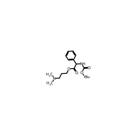 CN(C)CCCOC(=O)C(NC(=O)OC(C)(C)C)c1ccccc1